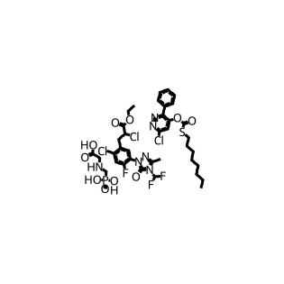 CCCCCCCCSC(=O)Oc1cc(Cl)nnc1-c1ccccc1.CCOC(=O)C(Cl)Cc1cc(-n2nc(C)n(C(F)F)c2=O)c(F)cc1Cl.O=C(O)CNCP(=O)(O)O